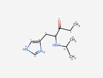 CCC(=O)C(Cc1c[nH]cn1)NC(C)C